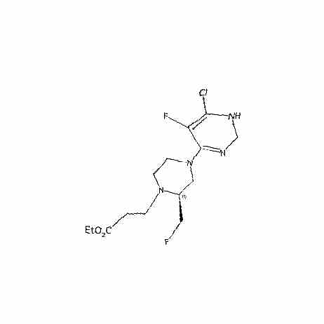 CCOC(=O)CCN1CCN(C2=NCNC(Cl)=C2F)C[C@H]1CF